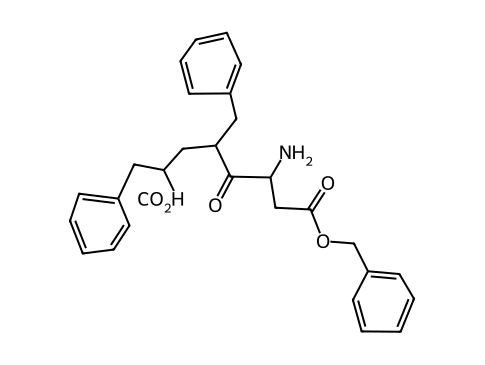 NC(CC(=O)OCc1ccccc1)C(=O)C(Cc1ccccc1)CC(Cc1ccccc1)C(=O)O